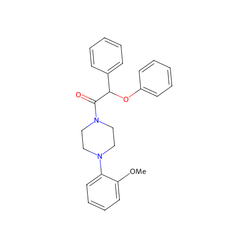 COc1ccccc1N1CCN(C(=O)C(Oc2ccccc2)c2ccccc2)CC1